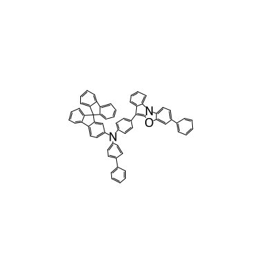 c1ccc(-c2ccc(N(c3ccc(-c4c5ccccc5n5c4oc4cc(-c6ccccc6)ccc45)cc3)c3ccc4c(c3)C3(c5ccccc5-c5ccccc53)c3ccccc3-4)cc2)cc1